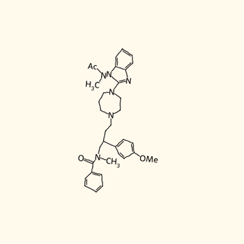 COc1ccc(C(CCN2CCCN(c3nc4ccccc4n3N(C)C(C)=O)CC2)CN(C)C(=O)c2ccccc2)cc1